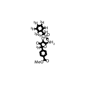 [2H]c1c([2H])c([2H])c(C([2H])([2H])S(=O)(=O)OC2=C(N)OC([2H])(c3ccc(C(=O)OC)cc3)C2=O)c([2H])c1[2H]